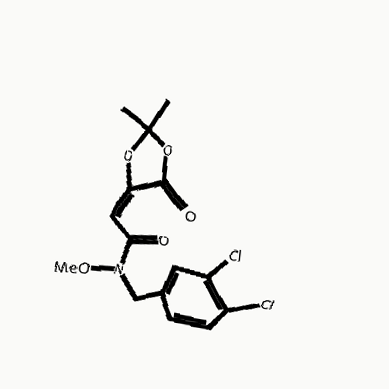 CON(Cc1ccc(Cl)c(Cl)c1)C(=O)C=C1OC(C)(C)OC1=O